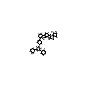 c1ccc(-c2nc(-c3ccccc3)nc(-c3ccc(-c4cccc5c4oc4c5ccc5c4sc4nc6ccccc6n45)cc3)n2)cc1